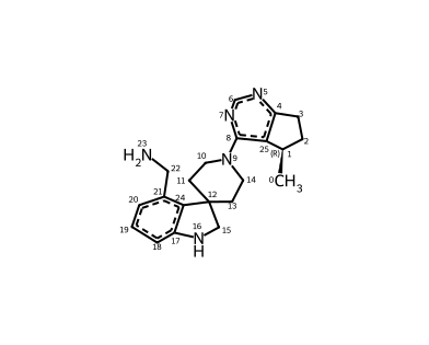 C[C@@H]1CCc2ncnc(N3CCC4(CC3)CNc3cccc(CN)c34)c21